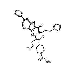 CC(C)CCN(C(=O)C1CCN(C(=O)OC(C)(C)C)CC1)C(=O)N(CCCc1ccccc1)C(=O)c1nc2cc(-c3ccccc3)ccc2o1